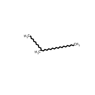 CCCCCCCCCCCCCCCCCCC(C)CCCCCCCCCC